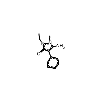 CCn1c(=O)c(-c2ccccc2)c(N)n1C